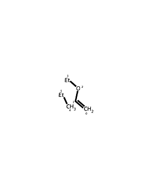 C=COCC.CCC